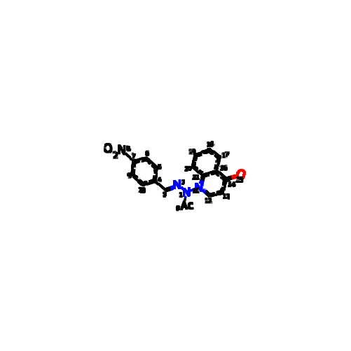 CC(=O)N(N=Cc1ccc([N+](=O)[O-])cc1)n1ccc(=O)c2ccccc21